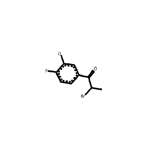 CC(Br)C(=O)c1ccc(F)c(Cl)c1